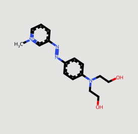 C[n+]1cccc(N=Nc2ccc(N(CCO)CCO)cc2)c1